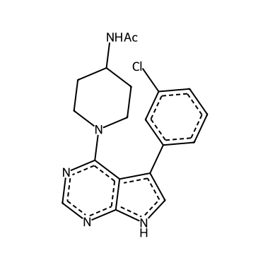 CC(=O)NC1CCN(c2ncnc3[nH]cc(-c4cccc(Cl)c4)c23)CC1